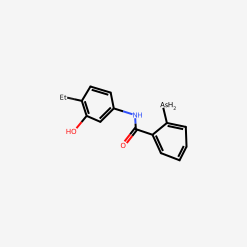 CCc1ccc(NC(=O)c2ccccc2[AsH2])cc1O